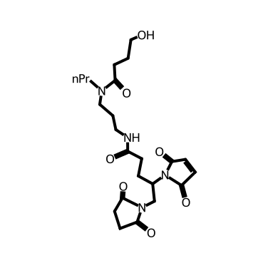 CCCN(CCCNC(=O)CCC(CN1C(=O)CCC1=O)N1C(=O)C=CC1=O)C(=O)CCCO